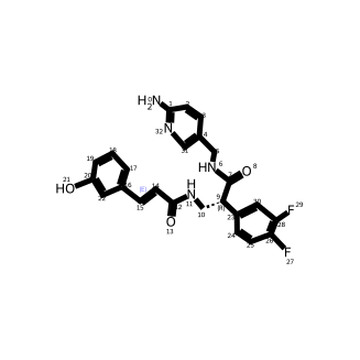 Nc1ccc(CNC(=O)[C@@H](CNC(=O)/C=C/c2cccc(O)c2)c2ccc(F)c(F)c2)cn1